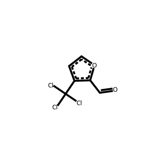 O=Cc1occc1C(Cl)(Cl)Cl